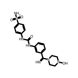 N=C(c1cccc(NC(=O)Nc2ccc(S(N)(=O)=O)cc2)c1)N1CCN(O)CC1